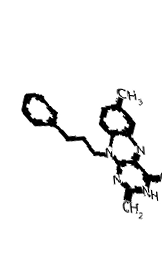 C=c1nc2c(c(=O)[nH]1)=Nc1cc(C)ccc1N2CCCc1ccccc1